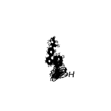 CN(C)CC(C)(C)c1ccc(-c2ccccc2C23CC4CC(CC(OC(=O)C(F)(F)S(=O)(=O)O)(C4)C2)C3)cc1